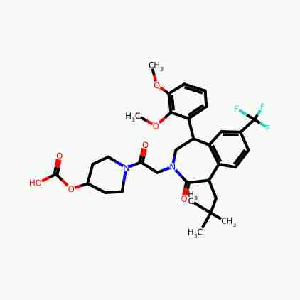 COc1cccc(C2CN(CC(=O)N3CCC(OC(=O)O)CC3)C(=O)C(CC(C)(C)C)c3ccc(C(F)(F)F)cc32)c1OC